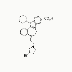 CCC1CCN(CCN2CCn3c(c(C4CCCCC4)c4ccc(C(=O)O)cc43)-c3ccccc32)C1